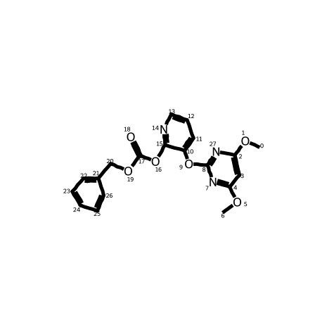 COc1cc(OC)nc(Oc2cccnc2OC(=O)OCc2ccccc2)n1